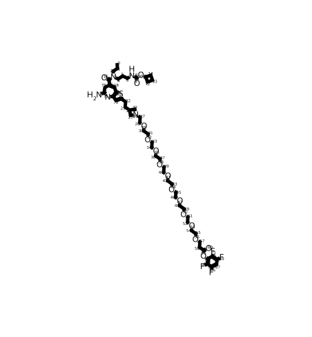 CCCN(CCCNC(=O)OC1CCC1)C(=O)C1=Cc2sc(CCC3CN(CCOCCOCCOCCOCCOCCOCCOCCOCCOCCOCCC(=O)Oc4c(F)c(F)cc(F)c4F)C3)cc2N=C(N)C1